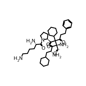 NCCCC[C@H](N)C(=O)N1CCC[C@H]1C(=O)C(C(=O)CCc1ccccc1)(C1CCCCC1)[C@](N)([C]=O)C(=O)[C@H](N)CC1CCCCC1